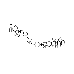 COc1cc2nn(C3CCC(CN4CCN(c5ccc6c(c5)C(=O)N(C5CCC(=O)NC5=O)C6)CC4)CC3)cc2cc1C(=O)Nc1cnc2cccnn12